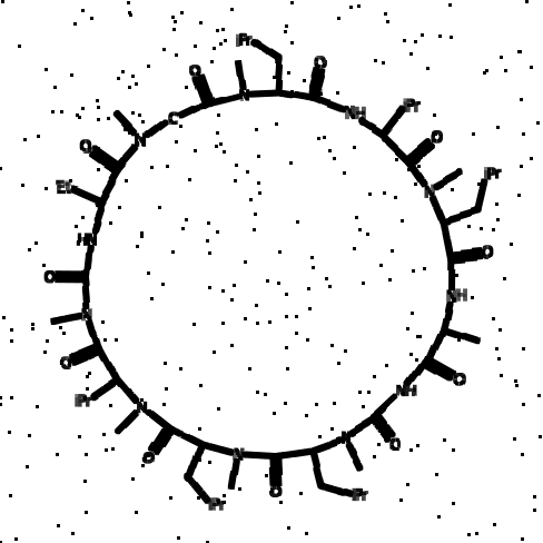 CCC1NC(=O)N(C)C(=O)C(C(C)C)N(C)C(=O)C(CC(C)C)N(C)C(=O)C(CC(C)C)N(C)C(=O)NC(=O)C(C)NC(=O)C(CC(C)C)N(C)C(=O)C(C(C)C)NC(=O)C(CC(C)C)N(C)C(=O)CN(C)C1=O